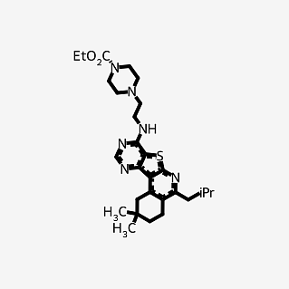 CCOC(=O)N1CCN(CCNc2ncnc3c2sc2nc(CC(C)C)c4c(c23)CC(C)(C)CC4)CC1